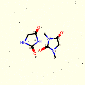 CN1CC(=O)N(C)C1=O.O=C1CNC(=O)N1